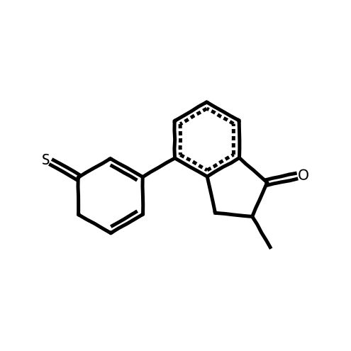 CC1Cc2c(cccc2C2=CC(=S)CC=C2)C1=O